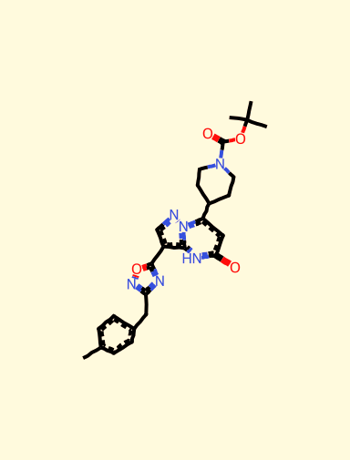 Cc1ccc(Cc2noc(-c3cnn4c(C5CCN(C(=O)OC(C)(C)C)CC5)cc(=O)[nH]c34)n2)cc1